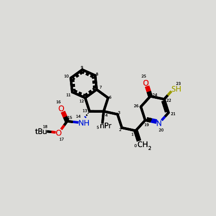 C=C(CCC1(CCC)Cc2ccccc2[C@H]1NC(=O)OC(C)(C)C)C1=NC=C(S)C(=O)C1